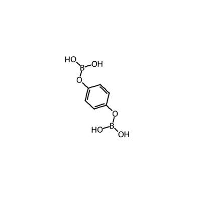 OB(O)Oc1ccc(OB(O)O)cc1